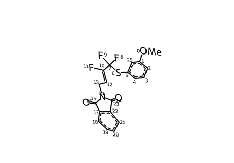 COc1cccc(SC(F)(F)/C(F)=C/CN2C(=O)c3ccccc3C2=O)c1